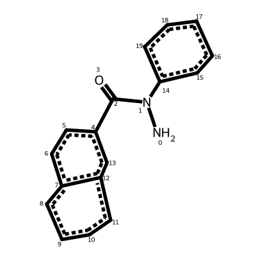 NN(C(=O)c1ccc2ccccc2c1)c1ccccc1